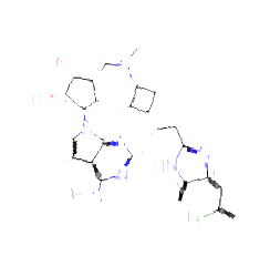 C=C(Br)/C=c1/nc(CC[C@H]2C[C@H](N(C)C[C@H]3C[C@@H](n4ccc5c(N)ncnc54)[C@H](O)[C@@H]3O)C2)[nH]c1=C